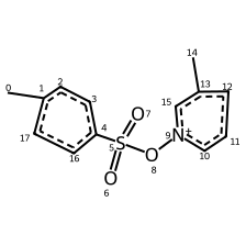 Cc1ccc(S(=O)(=O)O[n+]2cccc(C)c2)cc1